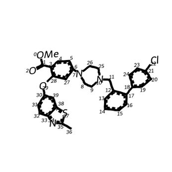 COC(=O)c1ccc(N2CCN(Cc3ccccc3-c3ccc(Cl)cc3)CC2)cc1Oc1ccc2nc(C)sc2c1